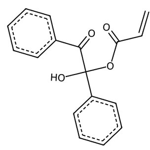 C=CC(=O)OC(O)(C(=O)c1ccccc1)c1ccccc1